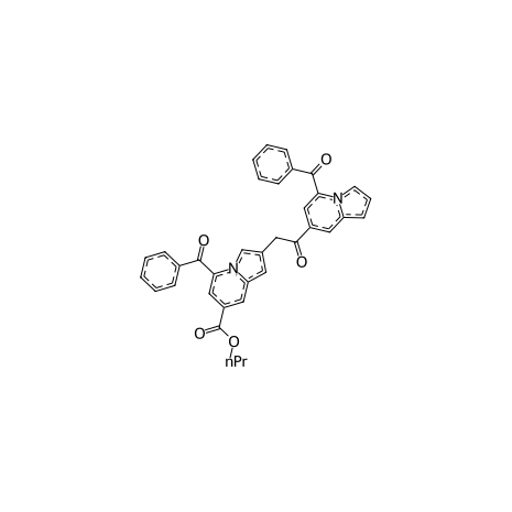 CCCOC(=O)c1cc(C(=O)c2ccccc2)n2cc(CC(=O)c3cc(C(=O)c4ccccc4)n4cccc4c3)cc2c1